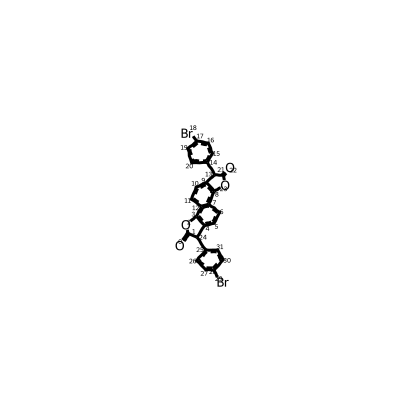 O=C1Oc2c(ccc3c4c(ccc23)C(c2ccc(Br)cc2)C(=O)O4)C1c1ccc(Br)cc1